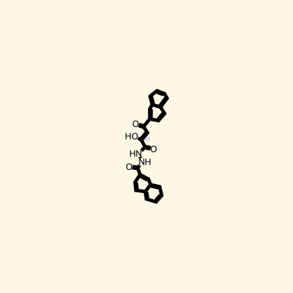 O=C(NNC(=O)c1ccc2ccccc2c1)/C(O)=C/C(=O)c1ccc2ccccc2c1